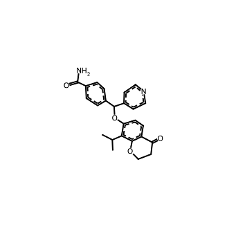 CC(C)c1c(OC(c2ccncc2)c2ccc(C(N)=O)cc2)ccc2c1OCCC2=O